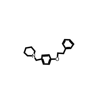 c1ccc(CCOc2ccc(CN3CCCCC3)cc2)cc1